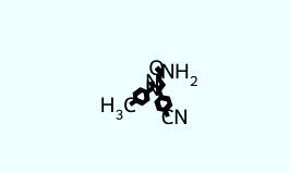 Cc1ccc(-n2nc(C(N)=O)cc2-c2ccc(C#N)cc2)cc1